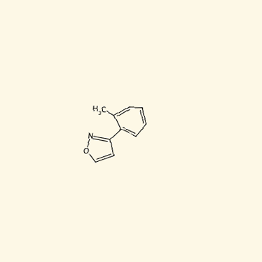 Cc1ccccc1-c1ccon1